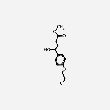 COC(=O)CCC(O)c1ccc(OCCCl)cc1